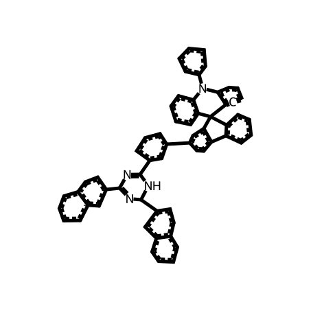 c1ccc(N2c3ccccc3C3(c4ccccc4-c4ccc(-c5cccc(C6=NC(c7ccc8ccccc8c7)=NC(c7ccc8ccccc8c7)N6)c5)cc43)c3ccccc32)cc1